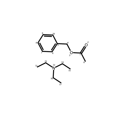 CC(=O)OCc1ccccc1.CCN(CC)CC